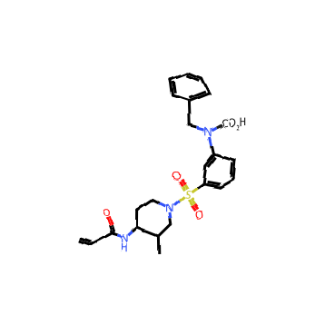 C=CC(=O)NC1CCN(S(=O)(=O)c2cccc(N(Cc3ccccc3)C(=O)O)c2)CC1C